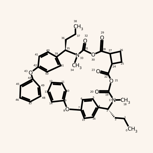 CCC[C@H](c1ccc(Oc2ccccc2)cc1)N(C)C(=O)OC(=O)C1CCC1C(=O)OC(=O)N(C)[C@H](CCC)c1ccc(Oc2ccccc2)cc1